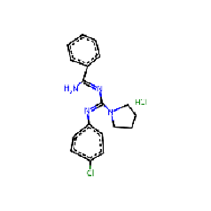 Cl.N/C(=N\C(=N\c1ccc(Cl)cc1)N1CCCC1)c1ccccc1